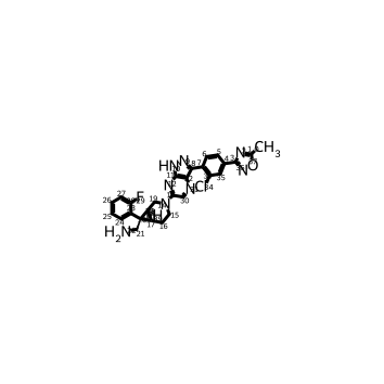 Cc1nc(-c2ccc(-c3n[nH]c4nc(N5CC[C@@H]6[C@H](C5)[C@@]6(CN)c5ccccc5F)cnc34)c(Cl)c2)no1